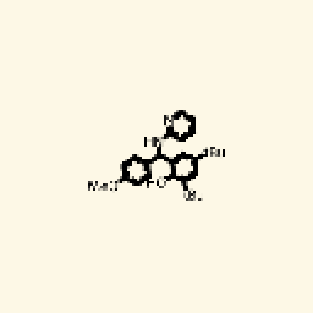 COc1ccc(C(Nc2ccccn2)c2cc(C(C)(C)C)cc(C(C)(C)C)c2O)cc1